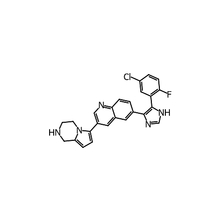 Fc1ccc(Cl)cc1-c1[nH]cnc1-c1ccc2ncc(-c3ccc4n3CCNC4)cc2c1